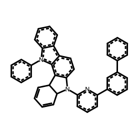 C1=CC2c3c(ccc4c5ccccc5n(-c5ccccc5)c34)N(c3cccc(-c4cccc(-c5ccccc5)c4)n3)C2C=C1